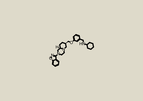 c1cc(CNC2CCCCC2)cc(OC[C@@H]2CC[C@@H]3CN(c4noc5ccccc45)CCN3C2)c1